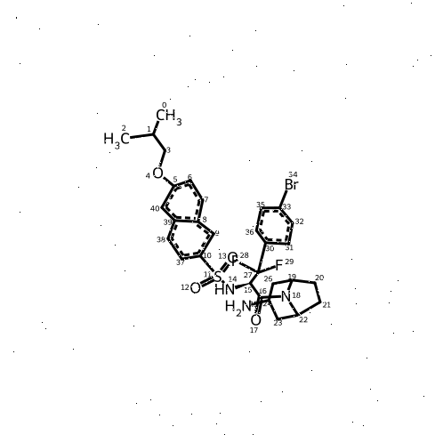 CC(C)COc1ccc2cc(S(=O)(=O)N[C@H](C(=O)N3C4CCC3CC(N)C4)C(F)(F)c3ccc(Br)cc3)ccc2c1